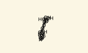 [N-]=[N+]=Nc1c(F)c(F)c(C(=O)NCCOCCOCCO[C@@H]2OC[C@H](O)[C@H](O)C2O)c(F)c1F